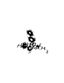 CC(F)(F)COC(=O)N1CCC[C@H](c2cc[nH]n2)[C@@H]1CO[C@H]1CC[C@@H](c2ccccc2)CC1